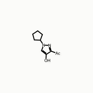 CC(=O)c1nn(C2CCCC2)cc1O